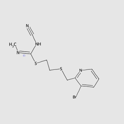 C/N=C(\NC#N)SCCSCc1ncccc1Br